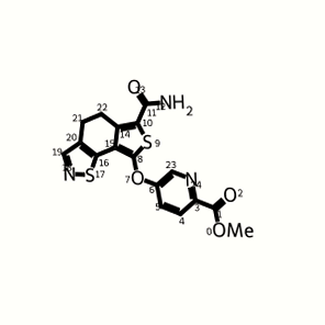 COC(=O)c1ccc(Oc2sc(C(N)=O)c3c2-c2sncc2CC3)cn1